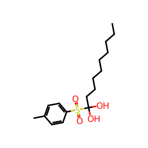 CCCCCCCCCC(O)(O)S(=O)(=O)c1ccc(C)cc1